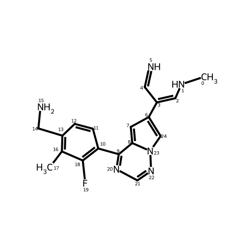 CN/C=C(\C=N)c1cc2c(-c3ccc(CN)c(C)c3F)ncnn2c1